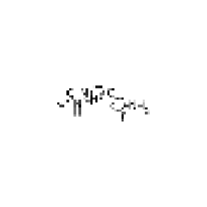 NC1=C(F)CCC(Oc2ccc3nc(NC(=O)C4CC4)nn3c2)=C1